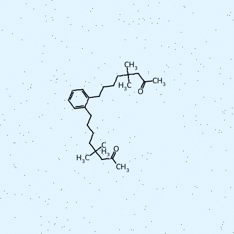 CC(=O)CC(C)(C)CCCCc1ccccc1CCCCC(C)(C)CC(C)=O